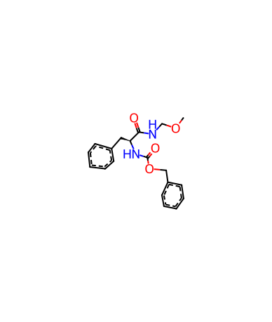 COCNC(=O)[C@H](Cc1ccccc1)NC(=O)OCc1ccccc1